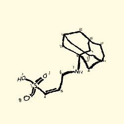 O=S(=O)(O)/C=C\CNC12CC3CC(CC(C3)C1)C2